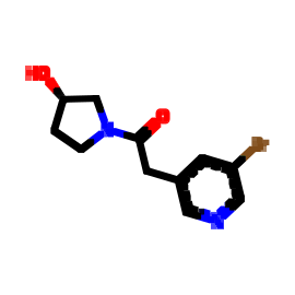 O=C(Cc1cncc(Br)c1)N1CC[C@@H](O)C1